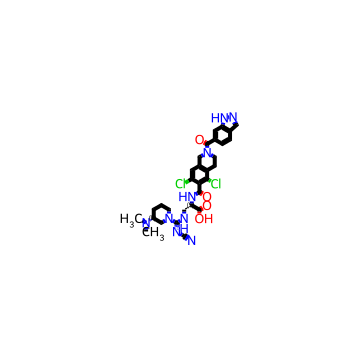 CN(C)[C@@H]1CCCN(/C(=N/C#N)NC[C@H](NC(=O)c2c(Cl)cc3c(c2Cl)CCN(C(=O)c2ccc4cn[nH]c4c2)C3)C(=O)O)C1